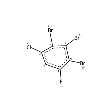 Fc1[c]c(Cl)c(Br)c(Br)c1Br